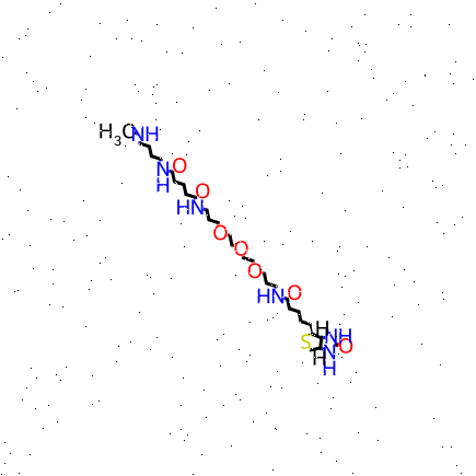 CNCCCCNC(=O)CCCC(=O)NCCCOCCOCCOCCCNC(=O)CCCC[C@@H]1SC[C@@H]2NC(=O)N[C@@H]21